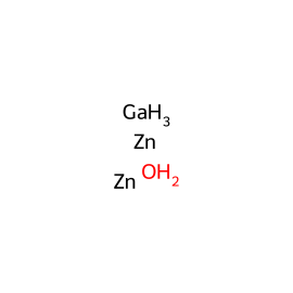 O.[GaH3].[Zn].[Zn]